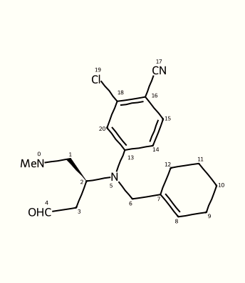 CNC[C@H](CC=O)N(CC1=CCCCC1)c1ccc(C#N)c(Cl)c1